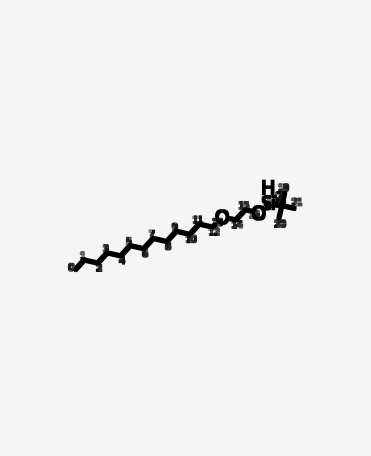 CCCCCCCCCCCCCOCCO[SiH2]C(C)(C)C